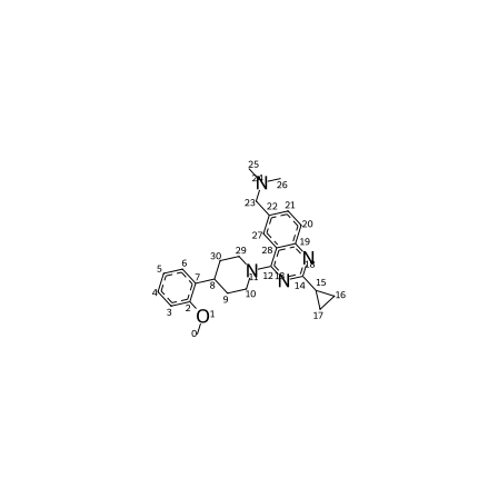 COc1ccccc1C1CCN(c2nc(C3CC3)nc3ccc(CN(C)C)cc23)CC1